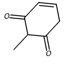 CC1C(=O)C=CCC1=O